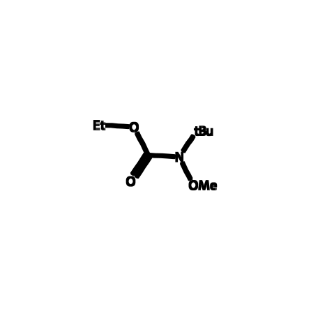 CCOC(=O)N(OC)C(C)(C)C